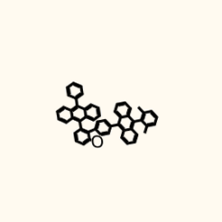 Cc1cccc(C)c1-c1c2ccccc2c(-c2ccc3c(c2)oc2cccc(-c4c5ccccc5c(-c5ccccc5)c5ccccc45)c23)c2ccccc12